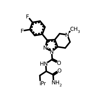 CC(C)CC(NC(=O)n1nc(-c2ccc(F)c(F)c2)c2c1CCN(C)C2)C(N)=O